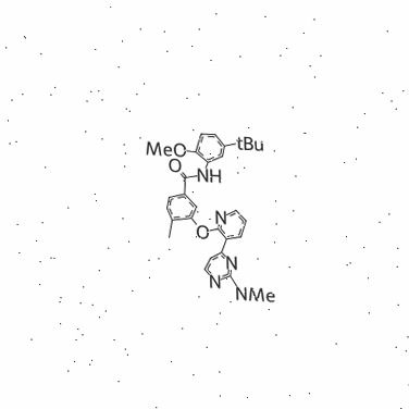 CNc1nccc(-c2cccnc2Oc2cc(C(=O)Nc3cc(C(C)(C)C)ccc3OC)ccc2C)n1